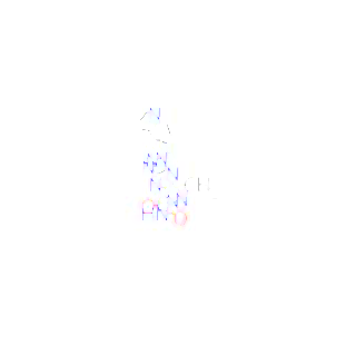 C/C(=N/N1CC(=O)NC1=O)c1cnc2nnn(Cc3ccc4ncccc4c3)c2n1